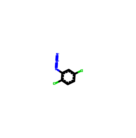 [N-]=[N+]=Nc1cc(Cl)ccc1Cl